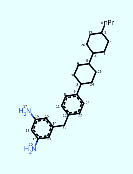 CCCC1CCC(C2CCC(c3ccc(Cc4cc(N)cc(N)c4)cc3)CC2)CC1